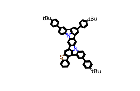 CC(C)(C)c1ccc(-c2ccc3c(c2)c2cc(-c4ccc(C(C)(C)C)cc4)cc4c5cc6c(cc5n3c24)c2cc3sc4ccccc4c3c3c4cc(-c5ccc(C(C)(C)C)cc5)ccc4n6c23)cc1